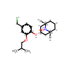 CC(C)COc1cc(CF)ccc1O[C@H]1C[C@H]2CCC[C@@H](C1)N2O